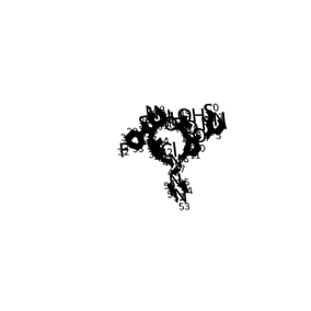 CSc1nccc(COc2ccc3cc2C[C@H](C(=O)O)Oc2ncnc4sc(-c5ccc(F)cc5)c(c24)-c2ccc(c(Cl)c2C)CN(CCN2CCN(C)CC2)C3)n1